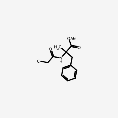 COC(=O)C(C)(Cc1ccccc1)NC(=O)CCl